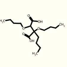 CCCCOC(C(=O)O)C(CCCC)(OCCCC)C(=O)O